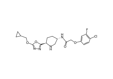 O=C(COc1ccc(Cl)c(F)c1)N[C@H]1CC[C@H](c2nnc(OCC3CC3)o2)NC1